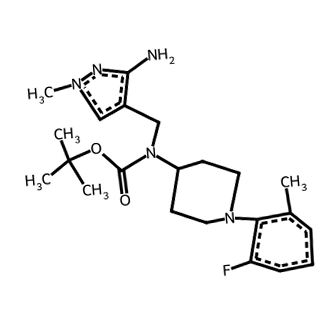 Cc1cccc(F)c1N1CCC(N(Cc2cn(C)nc2N)C(=O)OC(C)(C)C)CC1